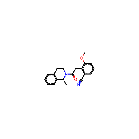 COc1cccc(C#N)c1CC(=O)N1CCc2ccccc2[C@@H]1C